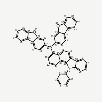 c1ccc(-n2c3ccccc3c3ccc4c(N(c5ccc6c(c5)oc5ccccc56)c5ccc6c(c5)oc5ccccc56)cccc4c32)cc1